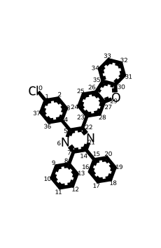 Clc1ccc(-c2nc(-c3ccccc3)c(-c3ccccc3)nc2-c2ccc3c(c2)oc2ccccc23)cc1